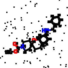 CC(C)(C)OC(=O)N1CCC2(CCc3ccc(NCc4ccccc4)cc3O2)CC1